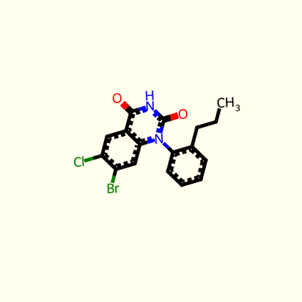 CCCc1ccccc1-n1c(=O)[nH]c(=O)c2cc(Cl)c(Br)cc21